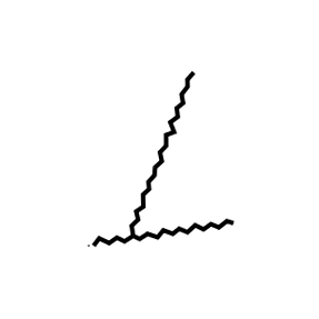 [CH2]CCCCC(CCCCCCCCCCCCC)CCCCCCCCCCCCCCCCCCCCCC